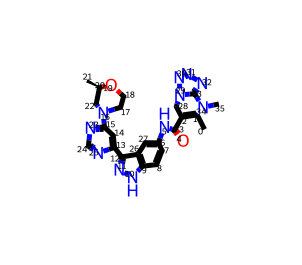 CC1=C(C(=O)Nc2ccc3[nH]nc(-c4cc(N5CCO[C@H](C)C5)ncn4)c3c2)Cn2nnnc2N1C